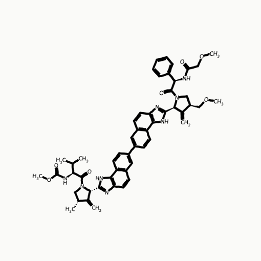 C=C1[C@H](COC)CN(C(=O)[C@H](NC(=O)COC)c2ccccc2)[C@@H]1c1nc2ccc3cc(-c4ccc5c(ccc6nc([C@@H]7C(=C)[C@H](C)CN7C(=O)[C@@H](NC(=O)OC)C(C)C)[nH]c65)c4)ccc3c2[nH]1